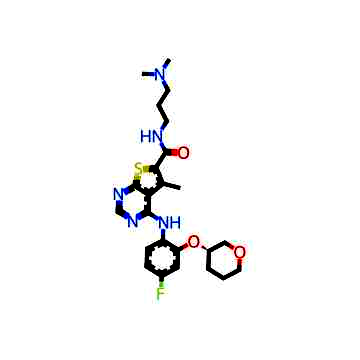 Cc1c(C(=O)NCCCN(C)C)sc2ncnc(Nc3ccc(F)cc3O[C@H]3CCCOC3)c12